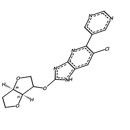 Clc1cc2[nH]c(OC3CO[C@@H]4CCO[C@H]34)nc2nc1-c1cncnc1